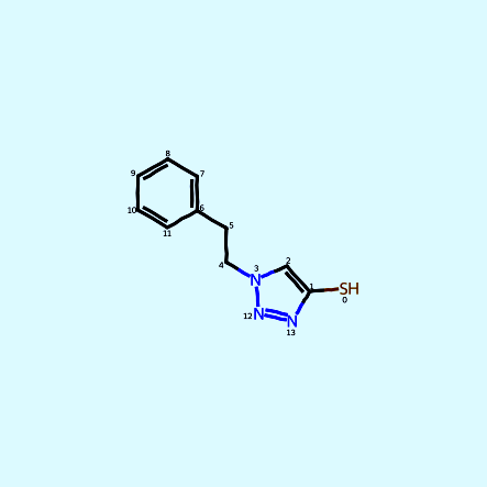 Sc1cn(CCc2ccccc2)nn1